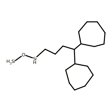 [SiH3]O[SiH]CCCC(C1CCCCCC1)C1CCCCCC1